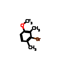 Cc1ccc(OC(F)(F)F)c(C)c1Br